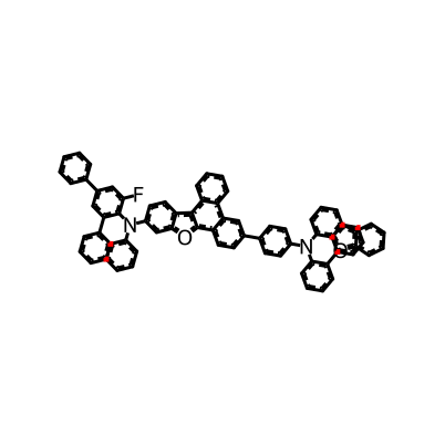 Fc1cc(-c2ccccc2)cc(-c2ccccc2)c1N(c1ccccc1)c1ccc2c(c1)oc1c3ccc(-c4ccc(N(c5ccccc5-c5ccccc5)c5cccc6c5oc5ccccc56)cc4)cc3c3ccccc3c21